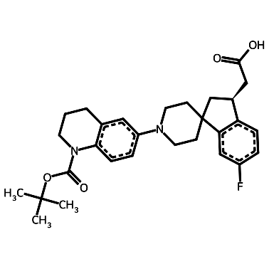 CC(C)(C)OC(=O)N1CCCc2cc(N3CCC4(CC3)C[C@@H](CC(=O)O)c3ccc(F)cc34)ccc21